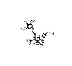 Cc1ccc([S+]([O-])c2c(C)c(C(=O)O)n(CCCOc3cc(C)c(Cl)c(C)c3)c2C)cc1